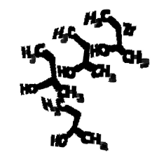 CCC(C)O.CCC(C)O.CCC(C)O.CCC(C)O.[Zr]